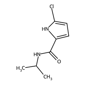 CC(C)NC(=O)c1ccc(Cl)[nH]1